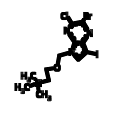 C[Si](C)(C)CCOCn1cc(I)c2nc(Br)c(Cl)nc21